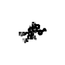 NC(=O)C(CCC(F)(F)F)C(CCC(F)(F)F)C(=O)N[C@H]1N=C(c2cccc(C3CC3)c2)c2cccc(Cl)c2NC1=O